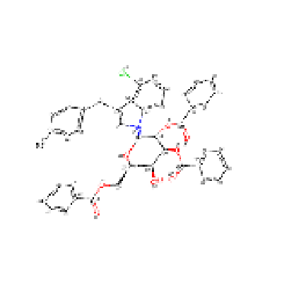 CCc1ccc(Cc2cn([C@@H]3O[C@H](COC(=O)c4ccccc4)[C@H](O)[C@H](OC(=O)c4ccccc4)[C@H]3OC(=O)c3ccccc3)c3cccc(Cl)c23)cc1